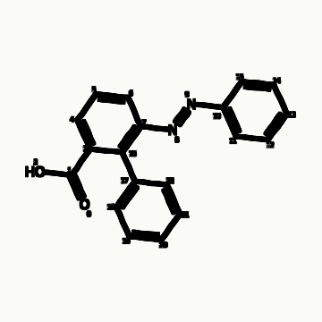 O=C(O)c1cccc(N=Nc2ccccc2)c1-c1ccccc1